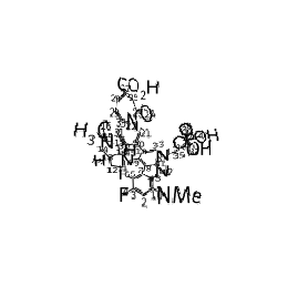 CNc1cc(F)c(F)c2c3c(N4CC[C@H]5CN(C)C[C@H]54)c(C4=CN5C(=O)CC(C(=O)O)=CC=C5C=C4)cn(COP(=O)(O)O)c-3nc12